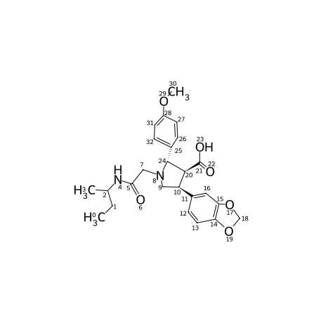 CCC(C)NC(=O)CN1C[C@H](c2ccc3c(c2)OCO3)[C@H](C(=O)O)[C@H]1c1ccc(OC)cc1